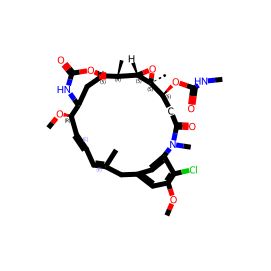 CNC(=O)O[C@H]1CC(=O)N(C)c2cc(cc(OC)c2Cl)C/C(C)=C/C=C/[C@@H](OC)C2C[C@H](OC(=O)N2)[C@@H](C)[C@@H]2O[C@@]12C